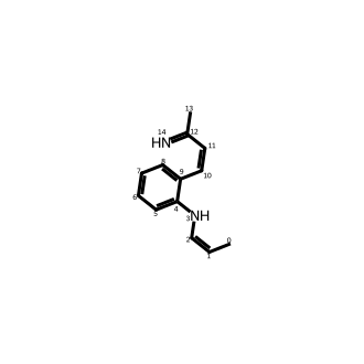 C/C=C\Nc1ccccc1/C=C\C(C)=N